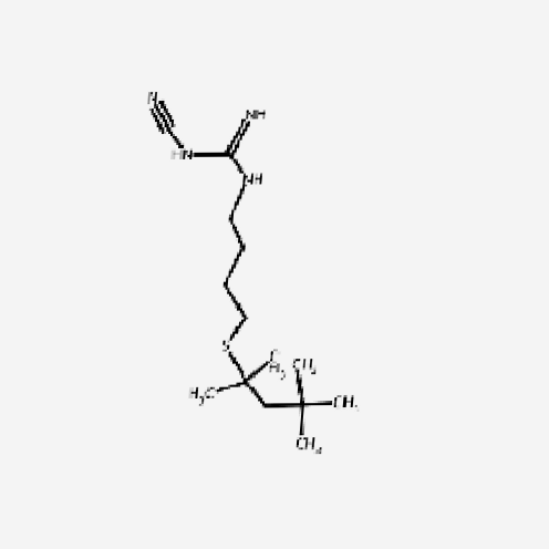 CC(C)(C)CC(C)(C)SCCCCNC(=N)NC#N